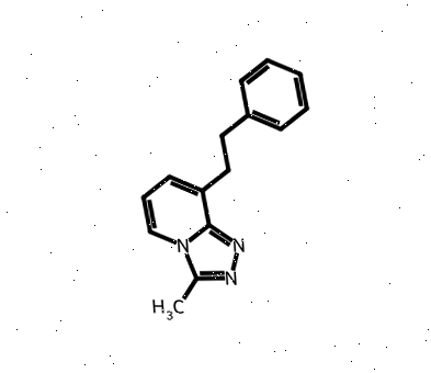 Cc1nnc2c(CCc3ccccc3)cccn12